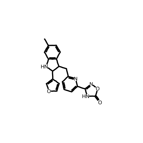 Cc1ccc2c(c1)NC(c1ccoc1)C2Cc1cccc(-c2noc(=O)[nH]2)n1